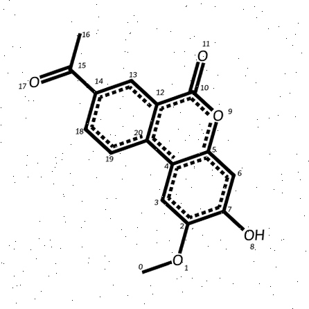 COc1cc2c(cc1O)oc(=O)c1cc(C(C)=O)ccc12